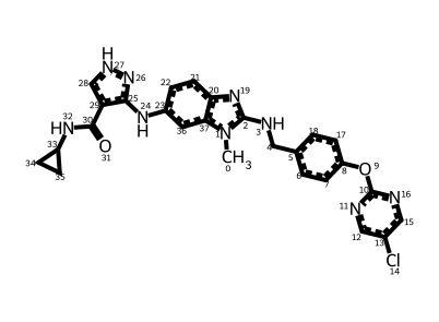 Cn1c(NCc2ccc(Oc3ncc(Cl)cn3)cc2)nc2ccc(Nc3n[nH]cc3C(=O)NC3CC3)cc21